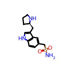 NS(=O)(=O)Cc1ccc2[nH]cc(C[C@H]3CCCN3)c2c1